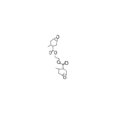 CC1CC2OC2CC1C(=O)OCCOC(=O)C1CC2OC2(C)CC1C